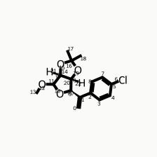 C=C(c1ccc(Cl)cc1)[C@H]1OC(OC)[C@@H]2OC(C)(C)O[C@H]12